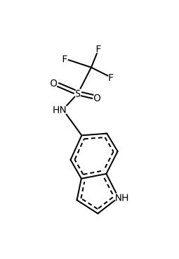 O=S(=O)(Nc1ccc2[nH]ccc2c1)C(F)(F)F